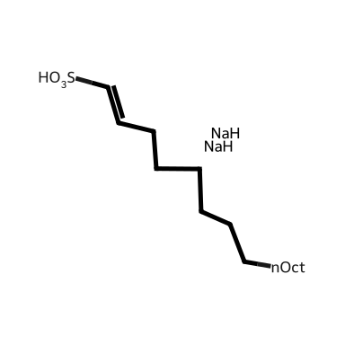 CCCCCCCCCCCCCCC=CS(=O)(=O)O.[NaH].[NaH]